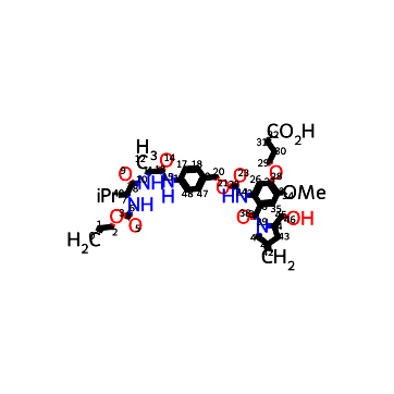 C=CCOC(=O)NC(C(=O)NC(C)C(=O)Nc1ccc(COC(=O)Nc2cc(OCCCC(=O)O)c(OC)cc2C(=O)N2CC(=C)CC2CO)cc1)C(C)C